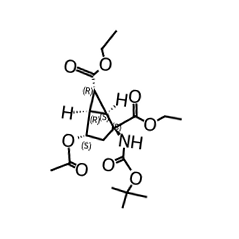 CCOC(=O)[C@H]1[C@H]2[C@@H]1[C@](NC(=O)OC(C)(C)C)(C(=O)OCC)C[C@@H]2OC(C)=O